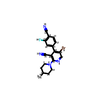 [2H]C1CCN(c2ncc(Br)c(-c3ccc(C#N)c(F)c3)c2C#N)CC1